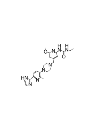 CCNC(=O)Nc1cc(CN2CCN(c3ccc(-c4ncc[nH]4)nc3C)CC2)cc(OC)n1